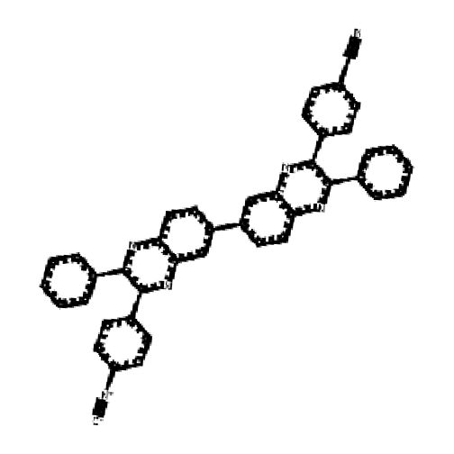 [C-]#[N+]c1ccc(-c2nc3cc(-c4ccc5nc(-c6ccccc6)c(-c6ccc(C#N)cc6)nc5c4)ccc3nc2-c2ccccc2)cc1